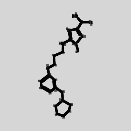 CCC(O)c1nc(NCCCOc2cccc(CN3CCCCC3)c2)n(C)n1